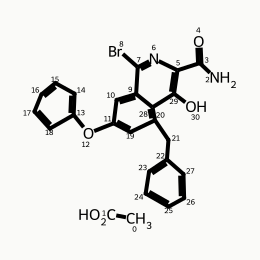 CC(=O)O.NC(=O)c1nc(Br)c2cc(Oc3ccccc3)cc(Cc3ccccc3)c2c1O